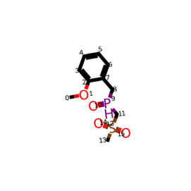 COc1ccccc1C[PH](=O)CS(C)(=O)=O